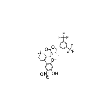 COc1cc(O)c([N+](=O)[O-])cc1C1=C(CN2C(=O)O[C@H](c3cc(C(F)(F)F)cc(C(F)(F)F)c3)[C@@H]2C)CC(C)(C)CC1